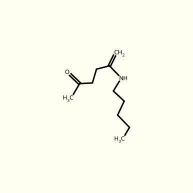 C=C(CCC(C)=O)NCCCCC